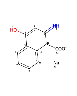 N=C1C=C(O)c2ccccc2C1C(=O)[O-].[Na+]